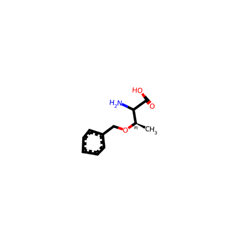 C[C@@H](OCc1ccccc1)C(N)C(=O)O